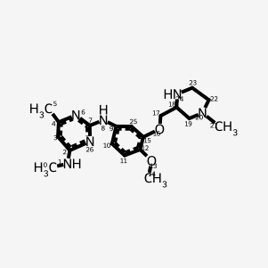 CNc1cc(C)nc(Nc2ccc(OC)c(OCC3CN(C)CCN3)c2)n1